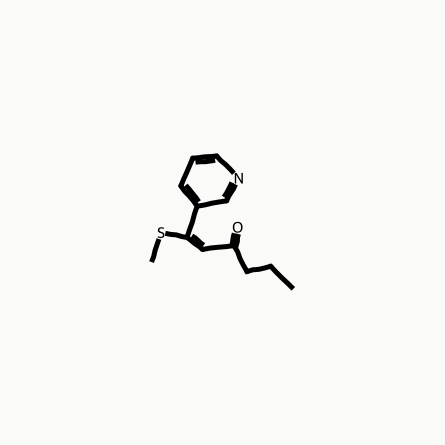 CCCC(=O)/C=C(/SC)c1cccnc1